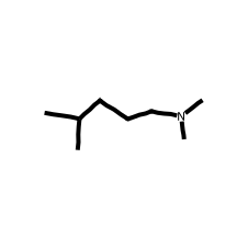 CC(C)[CH]CCN(C)C